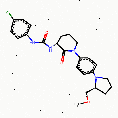 COC[C@@H]1CCCN1c1ccc(N2CCC[C@@H](NC(=O)Nc3ccc(Cl)cc3)C2=O)cc1